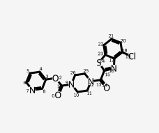 O=C(Oc1cccnc1)N1CCN(C(=O)c2nc3c(Cl)cccc3s2)CC1